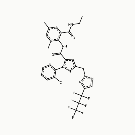 CCNC(=O)c1cc(I)cc(C)c1NC(=O)c1cc(Cn2ncc(C(F)(F)C(F)(F)C(F)(F)F)n2)nn1-c1ncccc1Cl